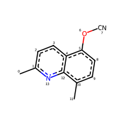 Cc1ccc2c(OC#N)ccc(C)c2n1